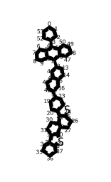 c1ccc(-c2c3ccccc3c(-c3ccc4cc(-c5ccc6c(c5)sc5ccc7c(ccc8c9ccccc9sc87)c56)ccc4c3)c3ccccc23)cc1